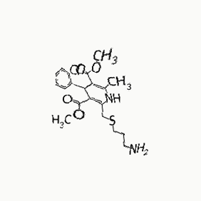 COC(=O)C1=C(C)NC(CSCCCN)=C(C(=O)OC)C1c1ccccc1Cl